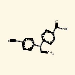 C=CC(c1ccc(C#N)cc1)c1ccc(C(=O)O)cc1